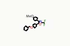 COc1ccc(-c2nc(C(F)F)oc2-c2ccc(OCc3ccccc3)cc2)cc1